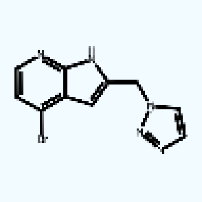 Brc1ccnc2[nH]c(Cn3ccnn3)cc12